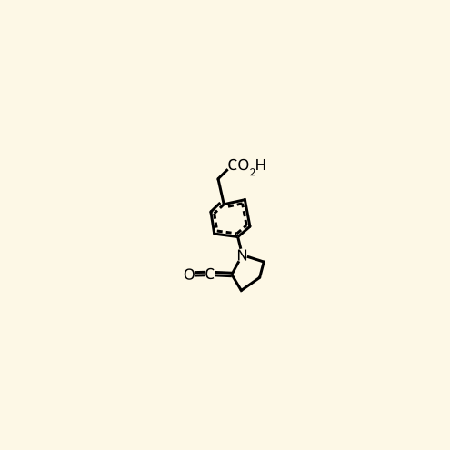 O=C=C1CCCN1c1ccc(CC(=O)O)cc1